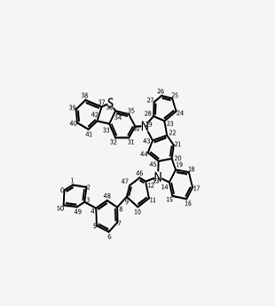 c1ccc(-c2cccc(-c3ccc(-n4c5ccccc5c5cc6c7ccccc7n(-c7ccc8c(c7)sc7ccccc78)c6cc54)cc3)c2)cc1